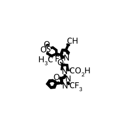 C#Cc1cnc(O[C@H]2C[C@@H](C(=O)O)N(c3nc(C(F)(F)F)nc4c3oc3ccccc34)C2)c([C@@]2(F)CCS(=O)(=O)C[C@@H]2C)c1